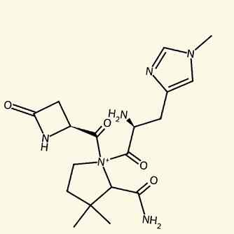 Cn1cnc(C[C@H](N)C(=O)[N+]2(C(=O)[C@@H]3CC(=O)N3)CCC(C)(C)C2C(N)=O)c1